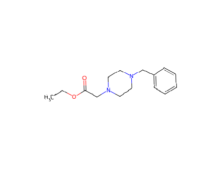 CCOC(=O)CN1CCN(Cc2ccccc2)CC1